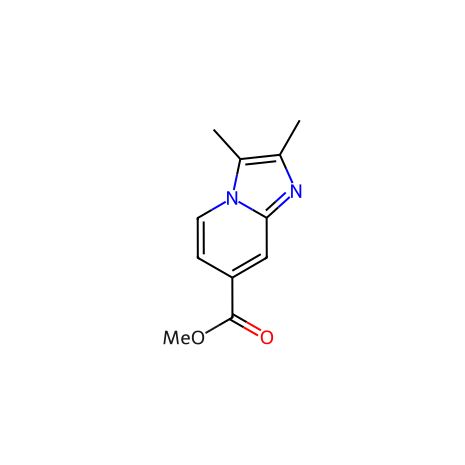 COC(=O)c1ccn2c(C)c(C)nc2c1